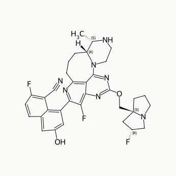 C[C@@H]1NCCN2c3nc(OC[C@@]45CCCN4C[C@H](F)C5)nc4c(F)c(-c5cc(O)cc6ccc(F)c(C#N)c56)nc(c34)CCC[C@H]12